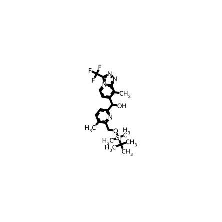 Cc1ccc(C(O)c2ccn3c(C(F)(F)F)nnc3c2C)nc1CO[Si](C)(C)C(C)(C)C